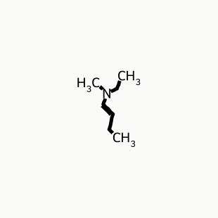 CCC=CN(C)CC